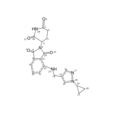 O=C1CCC(N2C(=O)c3cccc(NCc4cnn(C5CC5)c4)c3C2=O)C(=O)N1